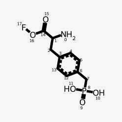 NC(Cc1ccc(CP(=O)(O)O)cc1)C(=O)OF